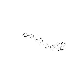 O=C(Cn1cc([S+]([O-])N2CCC(c3ccc(-c4ccc5ccc6cccc7ccc4c5c67)cc3)CC2)ccc1=O)c1ccc(-c2cccc(C(F)(F)F)c2)cc1